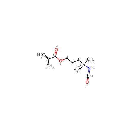 C=C(C)C(=O)OCCC[Si](C)(C)N=C=O